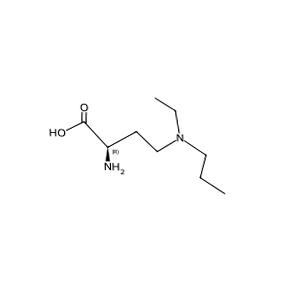 CCCN(CC)CC[C@@H](N)C(=O)O